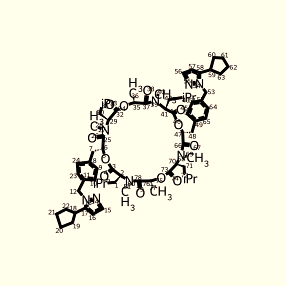 CC(C)C[C@H]1C(=O)O[C@H](Cc2ccc(Cn3nccc3C3CCCC3)cc2)C(=O)N(C)[C@@H](CC(C)C)C(=O)O[C@H](C)C(=O)N(C)[C@@H](CC(C)C)C(=O)O[C@H](Cc2ccc(Cn3nccc3C3CCCC3)cc2)C(=O)N(C)[C@@H](CC(C)C)C(=O)O[C@H](C)C(=O)N1C